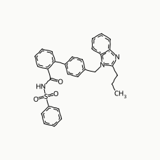 CCCc1nc2ccccc2n1Cc1ccc(-c2ccccc2C(=O)NS(=O)(=O)c2ccccc2)cc1